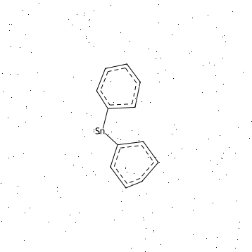 c1cc[c]([Sn][c]2ccccc2)cc1